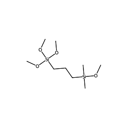 CO[Si](C)(C)CCC[Si](OC)(OC)OC